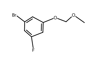 COCOc1cc(F)cc(Br)c1